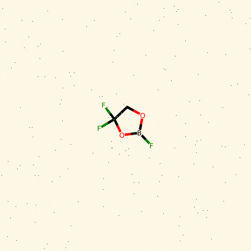 FB1OCC(F)(F)O1